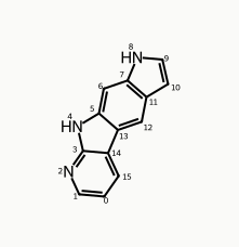 c1cnc2[nH]c3cc4[nH]ccc4cc3c2c1